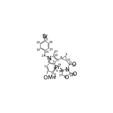 COc1ccc2c(c1)c(C1CC1C(=O)N1C(=O)OC[C@H]1C(C)C)c(C)n2Cc1ccc(Br)cc1